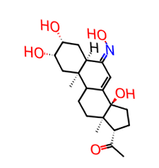 CC(=O)[C@H]1CC[C@@]2(O)C3=C/C(=N/O)[C@@H]4C[C@@H](O)[C@@H](O)C[C@]4(C)C3CC[C@]12C